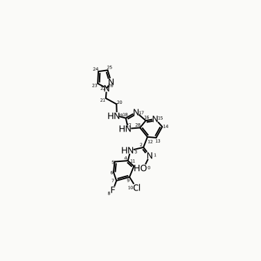 O/N=C(\Nc1ccc(F)c(Cl)c1)c1ccnc2nc(NCCn3cccn3)[nH]c12